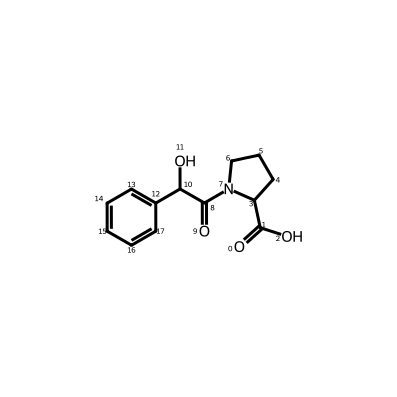 O=C(O)C1CCCN1C(=O)C(O)c1ccccc1